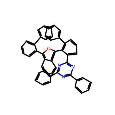 c1ccc(-c2nc(-c3ccccc3)nc(-c3cccc(-c4ccccc4)c3-c3oc(-c4ccccc4-c4ccccc4)c4ccccc34)n2)cc1